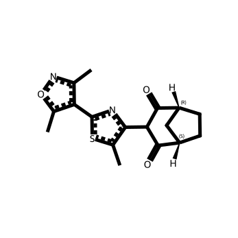 Cc1noc(C)c1-c1nc(C2C(=O)[C@@H]3CC[C@@H](C3)C2=O)c(C)s1